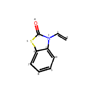 C=Cn1c(=O)sc2ccccc21